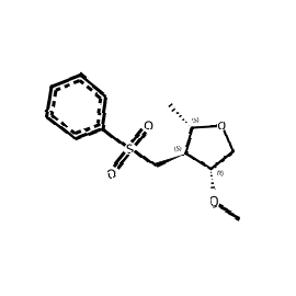 CO[C@H]1CO[C@@H](C)[C@@H]1CS(=O)(=O)c1ccccc1